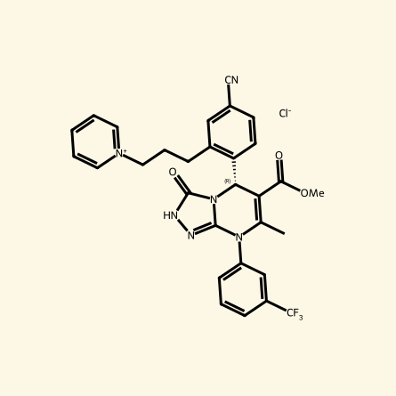 COC(=O)C1=C(C)N(c2cccc(C(F)(F)F)c2)c2n[nH]c(=O)n2[C@@H]1c1ccc(C#N)cc1CCC[n+]1ccccc1.[Cl-]